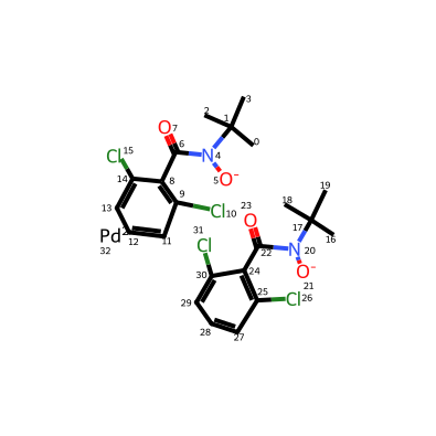 CC(C)(C)N([O-])C(=O)c1c(Cl)cccc1Cl.CC(C)(C)N([O-])C(=O)c1c(Cl)cccc1Cl.[Pd+2]